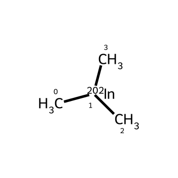 [CH3][202In]([CH3])[CH3]